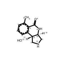 Cc1cccc2c1C(=O)N[C@H]1CNC[C@H]21.Cl